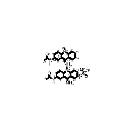 CC(=O)Nc1ccc2c(c1)c(N)c1ccccc1[n+]2C.CC(=O)Nc1ccc2c(c1)c(N)c1ccccc1[n+]2C.O=S(=O)([O-])[O-]